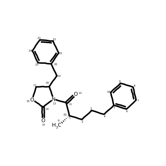 C[C@@H](CCCc1ccccc1)C(=O)N1C(=O)OCC1Cc1ccccc1